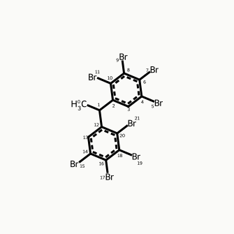 CC(c1cc(Br)c(Br)c(Br)c1Br)c1cc(Br)c(Br)c(Br)c1Br